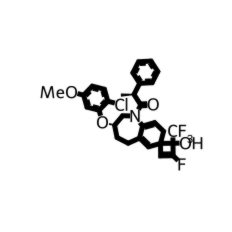 COc1ccc(Cl)c(O[C@H]2CCC3=CC4(C=C(F)C4(O)C(F)(F)F)CC=C3N(C(=O)[C@@H](C)c3ccccc3)C2)c1